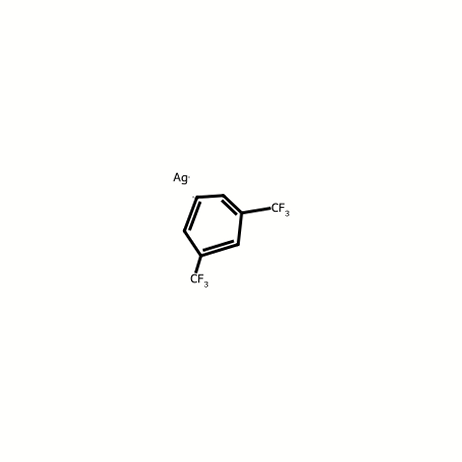 FC(F)(F)c1c[c]cc(C(F)(F)F)c1.[Ag]